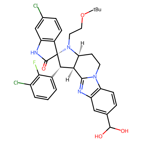 CC(C)(C)OCCN1[C@H]2CCn3c(nc4cc(C(O)O)ccc43)[C@H]2[C@H](c2cccc(Cl)c2F)[C@]12C(=O)Nc1cc(Cl)ccc12